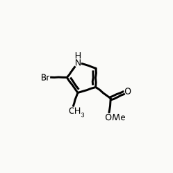 COC(=O)c1c[nH]c(Br)c1C